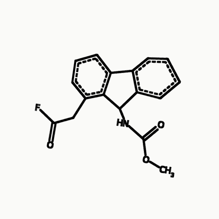 COC(=O)NC1c2ccccc2-c2cccc(CC(=O)F)c21